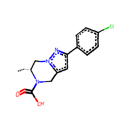 C[C@@H]1Cn2nc(-c3ccc(Cl)cc3)cc2CN1C(=O)O